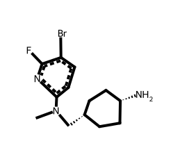 CN(C[C@H]1CC[C@@H](N)CC1)c1ccc(Br)c(F)n1